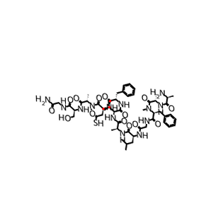 CC(C)C[C@H](NC(=O)CNC(=O)[C@H](Cc1ccccc1)N(C)C(=O)[C@H](C)NC(=O)[C@H](C)N)C(=O)N[C@@H](C)C(=O)N[C@H](C(=O)N[C@@H](Cc1ccccc1)C(=O)N[C@@H](CC(=O)S)C(=O)N(C)[C@@H](C)C(=O)N[C@@H](CO)C(=O)NCC(N)=O)C(C)C